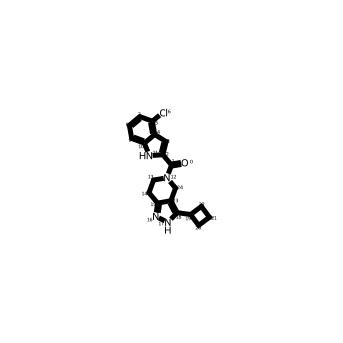 O=C(c1cc2c(Cl)cccc2[nH]1)N1CCc2n[nH]c(C3CCC3)c2C1